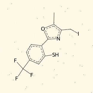 Cc1oc(-c2ccc(C(F)(F)F)cc2S)nc1CI